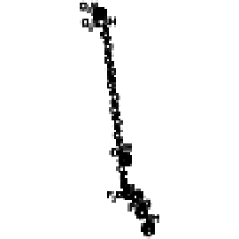 CC(C)C1(C(=O)N2CCc3nc(CCCCOc4cccc(C(=O)NCCOCCOCCOCCOCCOCCOCCOCCOCCOCCNc5ccc([N+](=O)[O-])cc5[N+](=O)[O-])c4)c(C(F)(F)F)cc3C2)CCC(NC2CCOCC2)C1